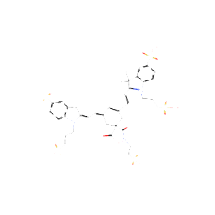 CC1(C)C(/C=C/C2=CC(=C/C=C3\Cc4cc(S(=O)(=O)O)ccc4N3CCCS(=O)(=O)O)/CC(C(=O)O)(C(=O)NCCS(=O)(=O)O)C2)=[N+](CCCS(=O)(=O)O)c2ccc(S(=O)(=O)O)cc21